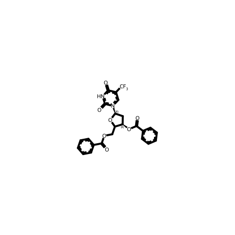 O=C(OCC1O[C@@H](n2cc(C(F)(F)F)c(=O)[nH]c2=O)C[C@H]1OC(=O)c1ccccc1)c1ccccc1